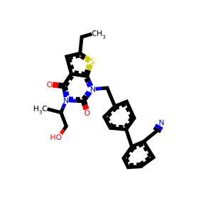 CCc1cc2c(=O)n(C(C)CO)c(=O)n(Cc3ccc(-c4ccccc4C#N)cc3)c2s1